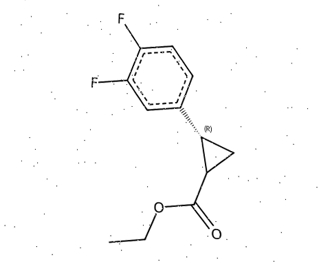 CCOC(=O)C1C[C@H]1c1ccc(F)c(F)c1